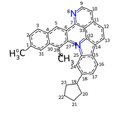 Cc1ccc2cc3c4nccc5ccc6c7ccc(C8CCCC8)cc7n(c3c(C)c2c1)c6c54